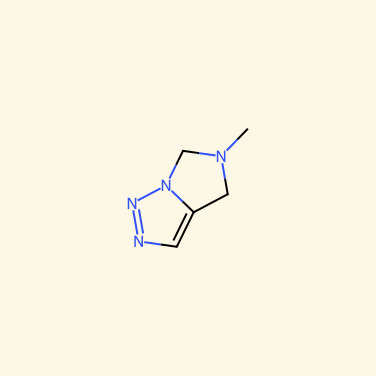 CN1Cc2cnnn2C1